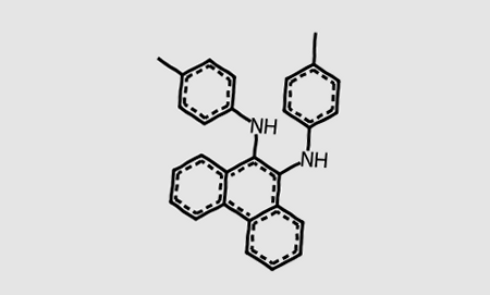 Cc1ccc(Nc2c(Nc3ccc(C)cc3)c3ccccc3c3ccccc23)cc1